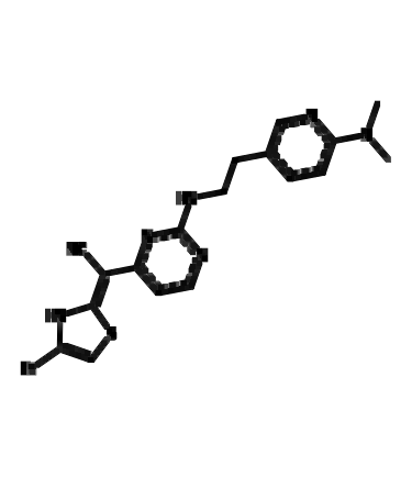 CCC1=CSC(=C(C#N)c2ccnc(NCCc3ccc(N(C)C)nc3)n2)N1